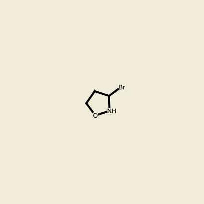 BrC1[CH]CON1